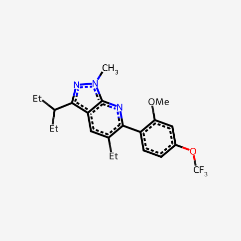 CCc1cc2c(C(CC)CC)nn(C)c2nc1-c1ccc(OC(F)(F)F)cc1OC